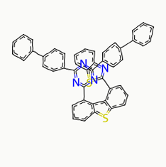 c1ccc(-c2ccc(-c3nc(-c4ccc(-c5ccccc5)cc4)nc(-c4cccc5sc6cccc(-c7nc8ccccc8s7)c6c45)n3)cc2)cc1